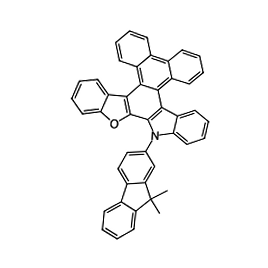 CC1(C)c2ccccc2-c2ccc(-n3c4ccccc4c4c5c6ccccc6c6ccccc6c5c5c6ccccc6oc5c43)cc21